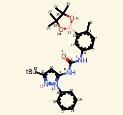 Cc1ccc(NC(=O)Nc2cc(C(C)(C)C)nn2-c2ccccc2)cc1B1OC(C)(C)C(C)(C)O1